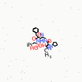 Cc1cc(C(=O)NCC2=NOC(Cc3ccccc3)(C(=O)NC(CC(C)C)B(O)O)C2)n(C2CCCC2)n1